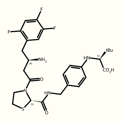 CC(C)(C)[C@H](Nc1ccc(CNC(=O)[C@@H]2SCCN2C(=O)C[C@H](N)Cc2cc(F)c(F)cc2F)cc1)C(=O)O